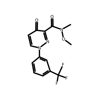 CON(C)C(=O)c1nn(-c2cccc(C(F)(F)F)c2)ccc1=O